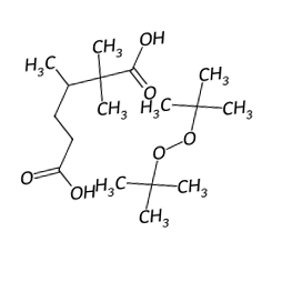 CC(C)(C)OOC(C)(C)C.CC(CCC(=O)O)C(C)(C)C(=O)O